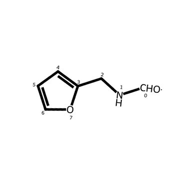 O=[C]NCc1ccco1